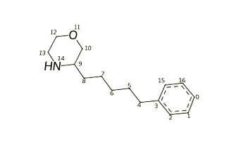 c1ccc(CCCCCC2COCCN2)cc1